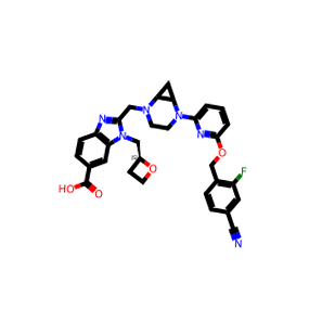 N#Cc1ccc(COc2cccc(N3CCN(Cc4nc5ccc(C(=O)O)cc5n4C[C@@H]4CCO4)C4CC43)n2)c(F)c1